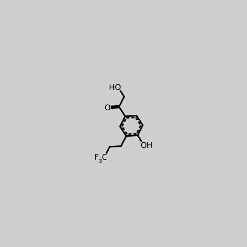 O=C(CO)c1ccc(O)c(CCC(F)(F)F)c1